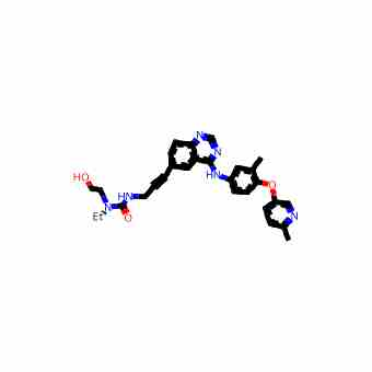 CCN(CCO)C(=O)NCC#Cc1ccc2ncnc(Nc3ccc(Oc4ccc(C)nc4)c(C)c3)c2c1